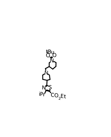 CCOC(=O)c1sc(C2CCN(CC3CCCN(C(=O)OC(C)(C)C)C3)CC2)nc1C(C)C